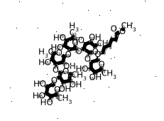 COC(=O)CCCCCO[C@H]1OC(C)[C@@H](O)[C@H](O)C1O[C@H]1OC(C)[C@@H](O)[C@H](O)C1O[C@H]1OC(C)[C@@H](O)[C@H](O)C1O[C@H]1OC(C)[C@@H](O)[C@H](O[C@H]2OC(C)[C@@H](O)[C@H](O)C2O[C@H]2OC(C)[C@@H](O)[C@H](O)C2O)C1O